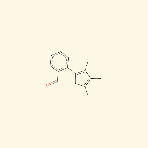 CC1=C(C)C(C)=C(c2ccccc2C=O)C1